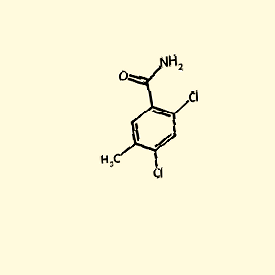 Cc1cc(C(N)=O)c(Cl)cc1Cl